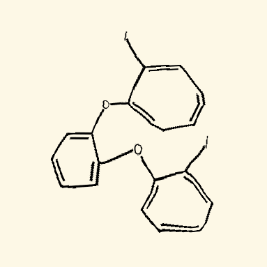 Ic1ccccc1Oc1ccccc1Oc1ccccc1I